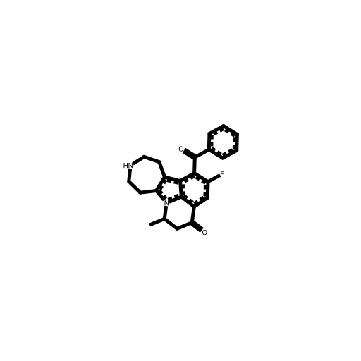 CC1CC(=O)c2cc(F)c(C(=O)c3ccccc3)c3c4c(n1c23)CCNCC4